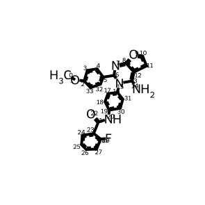 COc1ccc(C2N=c3occc3=C(N)N2c2ccc(NC(=O)c3ccccc3F)cc2)cc1